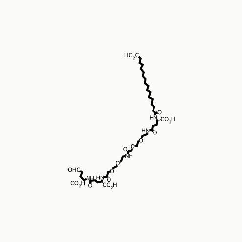 O=[C]CC[C@H](NC(=O)CC[C@H](NC(=O)COCCOCCNC(=O)COCCOCCNC(=O)CC[C@H](NC(=O)CCCCCCCCCCCCCCCCC(=O)O)C(=O)O)C(=O)O)C(=O)O